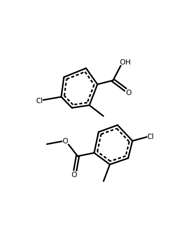 COC(=O)c1ccc(Cl)cc1C.Cc1cc(Cl)ccc1C(=O)O